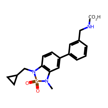 CN1c2cc(-c3cccc(CNC(=O)O)c3)ccc2N(CC2CC2)S1(=O)=O